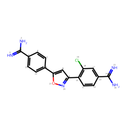 N=C(N)c1ccc(-c2cc(-c3ccc(C(=N)N)cc3Cl)no2)cc1